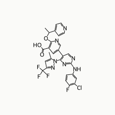 Cc1cc(C(F)(F)F)nn1-c1nc(Nc2ccc(F)c(Cl)c2)ncc1-c1cnc(OC(C)c2ccncc2)c(C(=O)O)c1